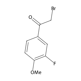 COc1ccc(C(=O)CBr)cc1F